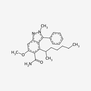 CCCCCC(C)c1c(C(N)=O)c(OC)cc2nn(C)c(-c3ccccc3)c12